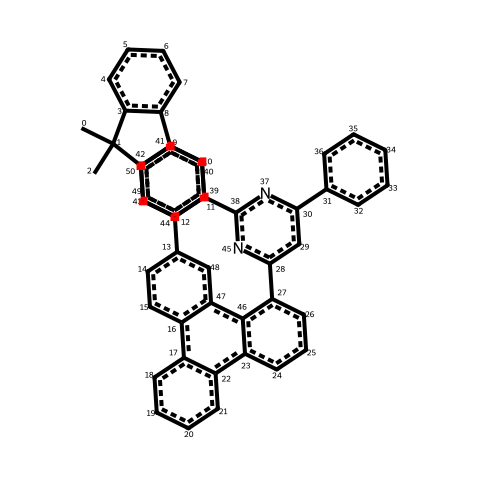 CC1(C)c2ccccc2-c2ccc(-c3ccc4c5ccccc5c5cccc(-c6cc(-c7ccccc7)nc(-c7ccccc7)n6)c5c4c3)cc21